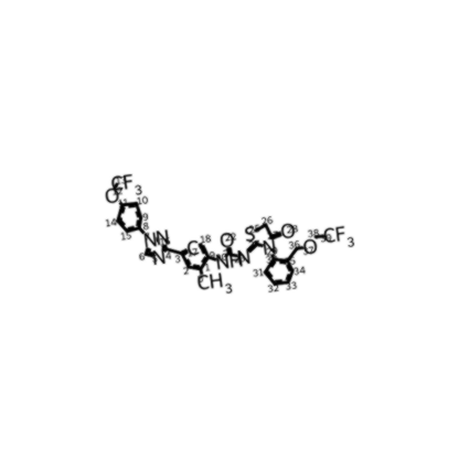 Cc1cc(-c2ncn(-c3ccc(OC(F)(F)F)cc3)n2)ccc1NC(=O)N=C1SCC(=O)N1c1ccccc1COCC(F)(F)F